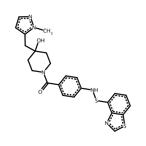 Cn1nccc1CC1(O)CCN(C(=O)c2ccc(NSc3cccc4scnc34)cc2)CC1